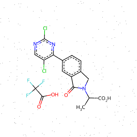 CC(C(=O)O)N1Cc2ccc(-c3nc(Cl)ncc3Cl)cc2C1=O.O=C(O)C(F)(F)F